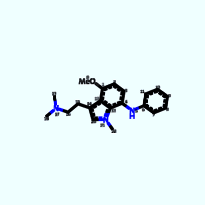 COc1ccc(Nc2ccccc2)c2c1c(CCN(C)C)cn2C